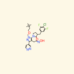 C[Si](C)(C)CCOCn1nc(-c2ccnnc2)c(CC=NO)c1N1CCC(Cc2cc(F)c(Cl)c(F)c2)C1=O